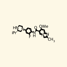 COc1cc2nc(C)cn2cc1C(=O)Nc1ccc(N2CCN[C@@H](C(C)C)C2)cc1F